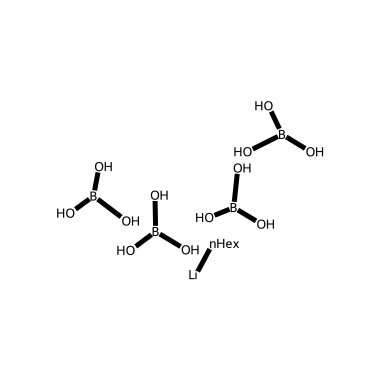 OB(O)O.OB(O)O.OB(O)O.OB(O)O.[Li][CH2]CCCCC